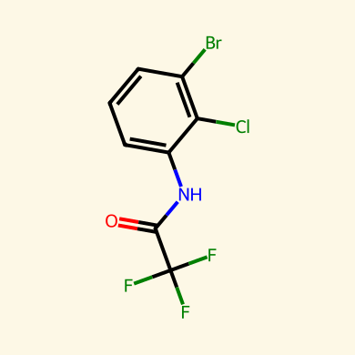 O=C(Nc1cccc(Br)c1Cl)C(F)(F)F